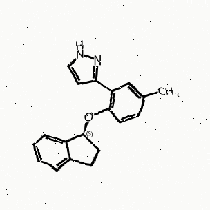 Cc1ccc(O[C@H]2CCc3ccccc32)c(-c2cc[nH]n2)c1